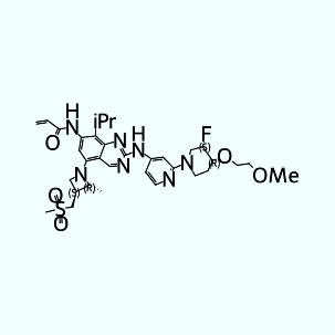 C=CC(=O)Nc1cc(N2C[C@H](CS(C)(=O)=O)[C@H]2C)c2cnc(Nc3ccnc(N4CC[C@@H](OCCOC)[C@@H](F)C4)c3)nc2c1C(C)C